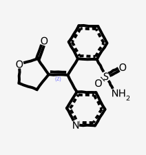 NS(=O)(=O)c1ccccc1/C(=C1/CCOC1=O)c1cccnc1